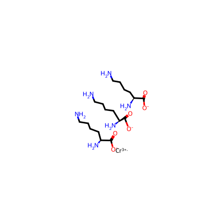 NCCCC[C@H](N)C(=O)[O-].NCCCC[C@H](N)C(=O)[O-].NCCCC[C@H](N)C(=O)[O-].[Cr+3]